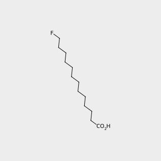 O=C(O)CCCCCCCCCCCCF